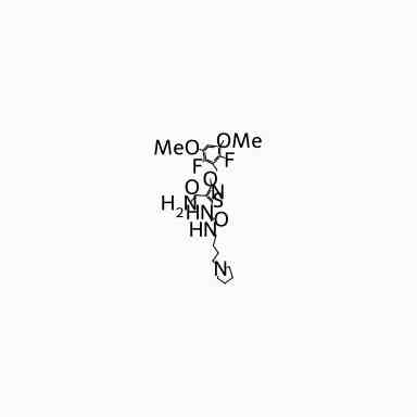 COc1cc(OC)c(F)c(COc2nsc(NC(=O)NCCCCN3CCCC3)c2C(N)=O)c1F